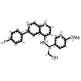 COc1ccc([C@@H](CO)Nc2ccnc3cnc(-c4ccc(F)cc4)cc23)cn1